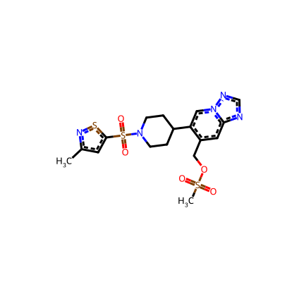 Cc1cc(S(=O)(=O)N2CCC(c3cn4ncnc4cc3COS(C)(=O)=O)CC2)sn1